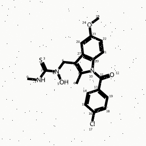 CNC(=S)N(O)Cc1c(C)n(C(=O)c2ccc(Cl)cc2)c2ccc(OC)cc12